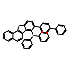 c1ccc(-c2ccc(-c3ccc4oc5c6ccccc6ccc5c4c3N(c3ccccc3)c3ccccc3)cc2)cc1